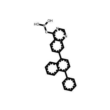 OB(O)Oc1ncnc2cc(-c3ccc(-c4ccccc4)c4ccccc34)ccc12